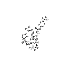 O=C(N[C@H]1CC[C@H](C(F)(F)F)CC1)c1cc2nc(Nc3cc(CNC(=O)C4CCCC4)ccc3C(F)(F)F)[nH]c2nc1OCC(F)F